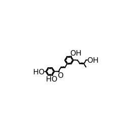 CC(=CCc1cc(C=CC(=O)c2ccc(O)cc2O)ccc1O)CO